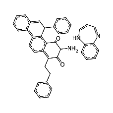 C1=CNc2ccccc2N=C1.NC1C(=O)C(CCc2ccccc2)=c2ccc3c(c2C1=O)C(c1ccccc1)C=c1ccccc1=3